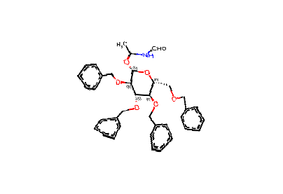 CC(NC=O)O[C@@H]1O[C@H](COCc2ccccc2)[C@@H](OCc2ccccc2)[C@H](OCc2ccccc2)[C@H]1OCc1ccccc1